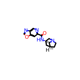 O=C(N[C@@H]1C[C@@H]2CCN(C2)C1)c1cc2ocnc2cn1